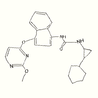 COc1nccc(Oc2ccc(NC(=O)NC3CC3C3CCCCC3)c3ccccc23)n1